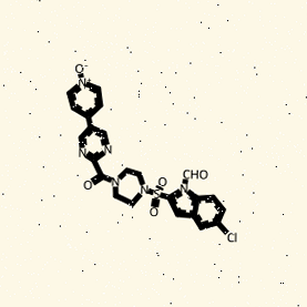 O=Cn1c(S(=O)(=O)N2CCN(C(=O)c3ncc(-c4cc[n+]([O-])cc4)cn3)CC2)cc2cc(Cl)ccc21